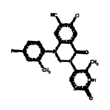 Cc1cc(F)ccc1N1CN(c2cnc(=O)[nH]c2C)C(=O)c2cc(Cl)c(C#N)cc21